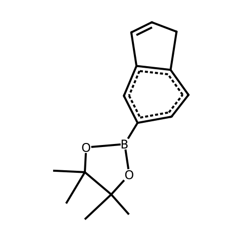 CC1(C)OB(c2ccc3c(c2)C=CC3)OC1(C)C